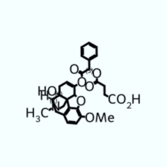 COc1ccc2c3c1OC1C(OC(=O)[C@@H](OC(=O)CCC(=O)O)c4ccccc4)=CC[C@@]4(O)[C@@H](C2)N(C)CCC314